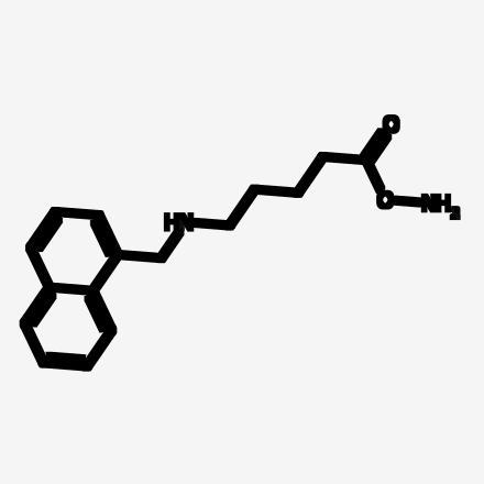 NOC(=O)CCCCNCc1cccc2ccccc12